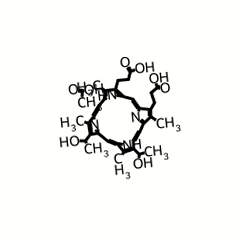 CC(=O)O.CC1=C(CCC(=O)O)c2cc3[nH]c(cc4nc(cc5[nH]c(cc1n2)c(C(C)O)c5C)C(C(C)O)=C4C)c(C)c3CCC(=O)O